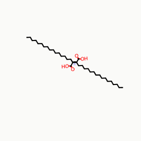 CCCCCCCCCCCCCCCC/C(C(=O)O)=C(/CCCCCCCCCCCCCCCC)C(=O)O